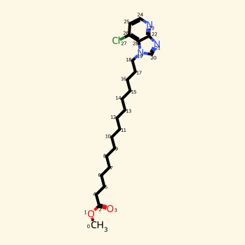 COC(=O)CCCCCCCCCCCCCCCn1cnc2nccc(Cl)c21